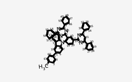 Cc1ccc(-c2ccc3c(c2)c2ccccc2n3-c2ccc(-c3nc(-c4ccccc4)cc(-c4ccccc4)n3)cc2-c2nc(-c3ccccc3)nc(-c3ccccc3)n2)cc1